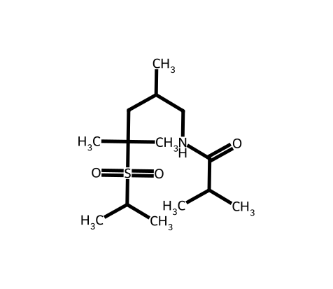 CC(CNC(=O)C(C)C)CC(C)(C)S(=O)(=O)C(C)C